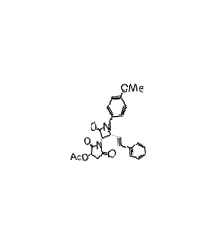 COc1ccc(N2C(=O)[C@@H](N3C(=O)CC(OC(C)=O)C3=O)[C@H]2C=Cc2ccccc2)cc1